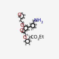 CCOC(=O)Cc1ccccc1OCc1coc2c(OCCC3CCCOC3)cc(-c3cccc(CN)c3)cc12